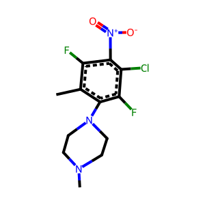 Cc1c(F)c([N+](=O)[O-])c(Cl)c(F)c1N1CCN(C)CC1